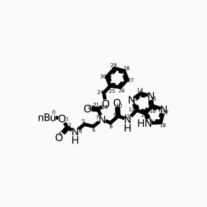 CCCCOC(=O)NCCN(CC(=O)Nc1ncnc2nc[nH]c12)C(=O)OCc1ccccc1